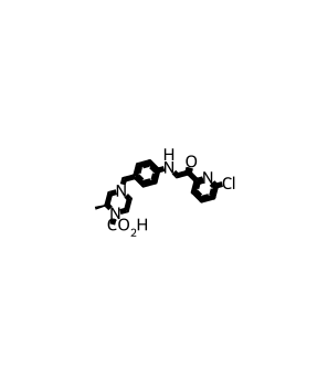 C[C@H]1CN(Cc2ccc(NCC(=O)c3cccc(Cl)n3)cc2)CCN1C(=O)O